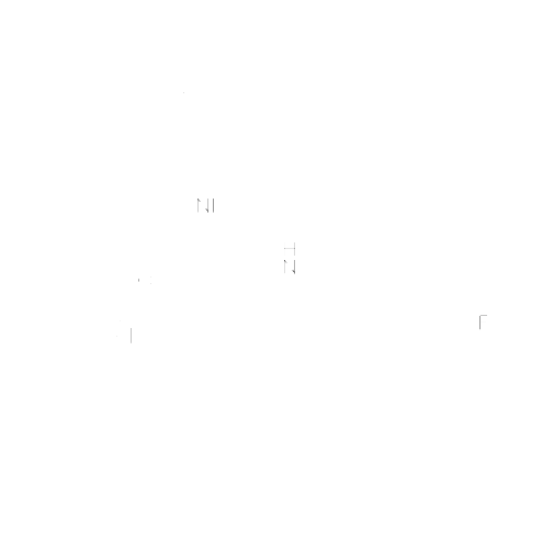 O=C(NC1CCCCC1)[C@H](Nc1cccc(F)c1)c1ccccc1Cl